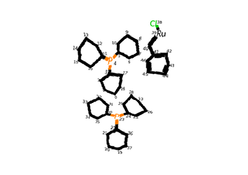 C1CCC(P(C2CCCCC2)C2CCCCC2)CC1.C1CCC(P(C2CCCCC2)C2CCCCC2)CC1.[Cl][Ru]=[CH]c1ccccc1